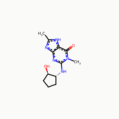 Cc1nc2nc(N[C@@H]3CCC[C@H]3O)n(C)c(=O)c2[nH]1